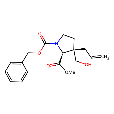 C=CC[C@]1(CO)CCN(C(=O)OCc2ccccc2)[C@@H]1C(=O)OC